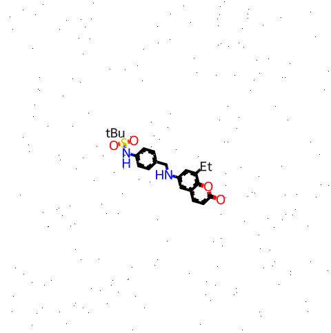 CCc1cc(NCc2ccc(NS(=O)(=O)C(C)(C)C)cc2)cc2ccc(=O)oc12